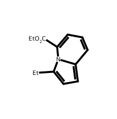 CCOC(=O)c1cccc2ccc(CC)n12